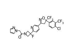 O=C(Cn1cccn1)N1CC(F)(c2ccc(C3=NOC(c4ccc(Cl)c(C(F)(F)F)c4)(C(F)(F)F)C3)cn2)C1